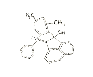 Cc1cc(C)c(C2(O)/C(=N/c3ccccc3)c3cccc4cccc2c34)c(C)c1